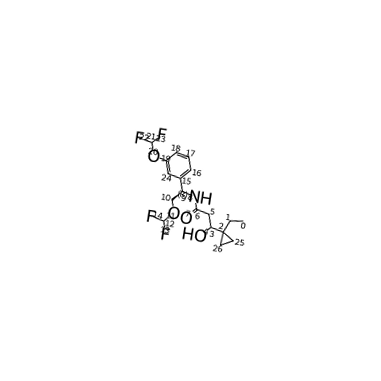 CCC1(C(O)CC(=O)N[C@@H](COC(F)F)c2cccc(OC(F)F)c2)CC1